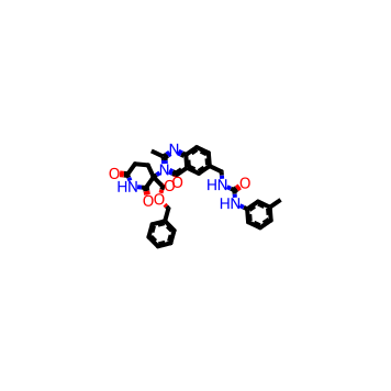 Cc1cccc(NC(=O)NCc2ccc3nc(C)n(C4(C(=O)OCc5ccccc5)CCC(=O)NC4=O)c(=O)c3c2)c1